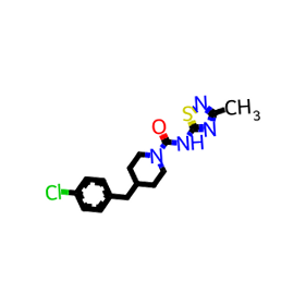 Cc1nsc(NC(=O)N2CCC(Cc3ccc(Cl)cc3)CC2)n1